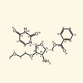 COCCO[C@@H]1[C@H](N)[C@@H](COC(=O)c2ccccc2)O[C@H]1n1ccc(=O)[nH]c1=O